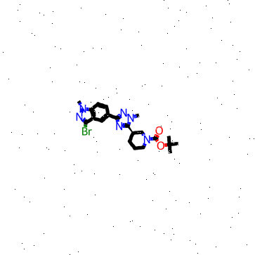 Cn1nc(-c2ccc3c(c2)c(Br)nn3C)nc1[C@@H]1CCCN(C(=O)OC(C)(C)C)C1